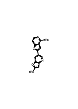 CC(C)(C)c1cc2ncc(-c3cc4c(C(C)(C)C)nccc4o3)cc2o1